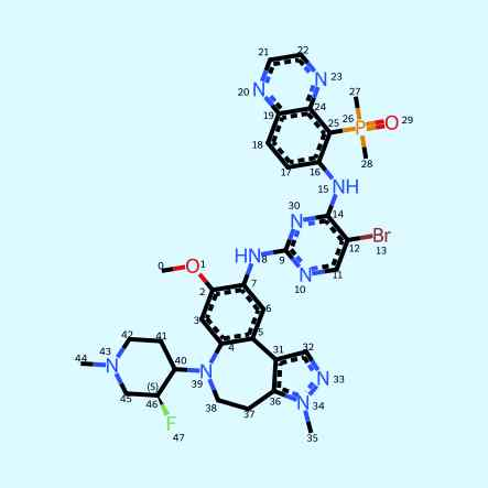 COc1cc2c(cc1Nc1ncc(Br)c(Nc3ccc4nccnc4c3P(C)(C)=O)n1)-c1cnn(C)c1CCN2C1CCN(C)C[C@@H]1F